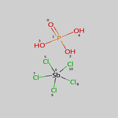 O=P(O)(O)O.[Cl][Sb]([Cl])([Cl])([Cl])[Cl]